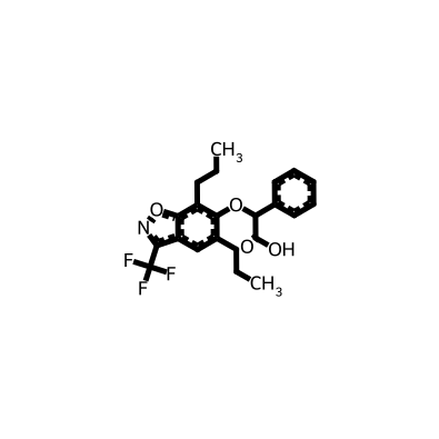 CCCc1cc2c(C(F)(F)F)noc2c(CCC)c1OC(C(=O)O)c1ccccc1